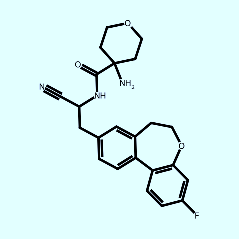 N#CC(Cc1ccc2c(c1)CCOc1cc(F)ccc1-2)NC(=O)C1(N)CCOCC1